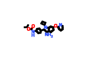 CC(C)OC(=O)Nc1ccc(-c2c(N)c3ccc(Oc4ccccn4)cc3n2C2CCC2)cc1